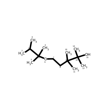 CC(C)C(C)(C)OCCC(C)(C)C(C)(C)O